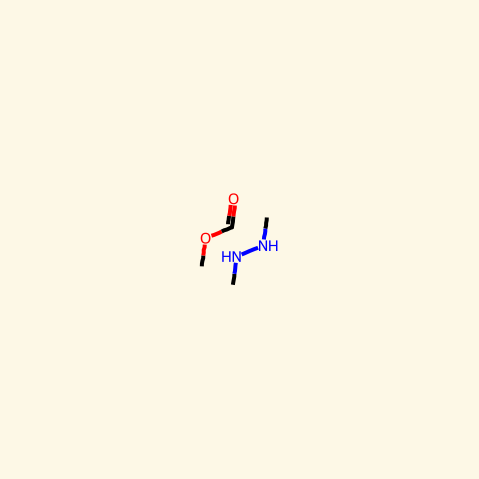 CNNC.COC=O